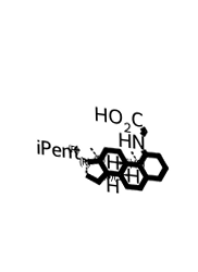 CCC[C@@H](C)[C@H]1CC[C@H]2[C@@H]3CCC4CCCC(NCC(=O)O)[C@]4(C)[C@H]3CC[C@]12C